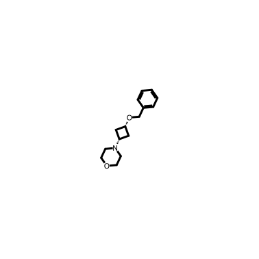 c1ccc(CO[C@H]2C[C@@H](N3CCOCC3)C2)cc1